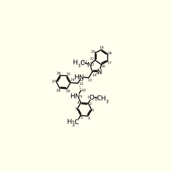 COc1ccc(C)cc1NC[C@@H](NCc1nc2ccccc2n1C)c1ccccc1